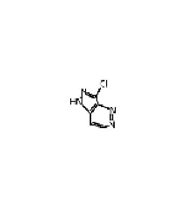 Clc1n[nH]c2ccnnc12